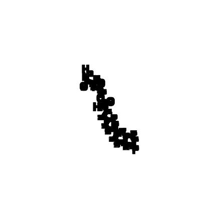 NC(=O)c1cc(COC(=O)NCCC2CCN(c3ccc4cc(F)ccc4n3)CC2)on1